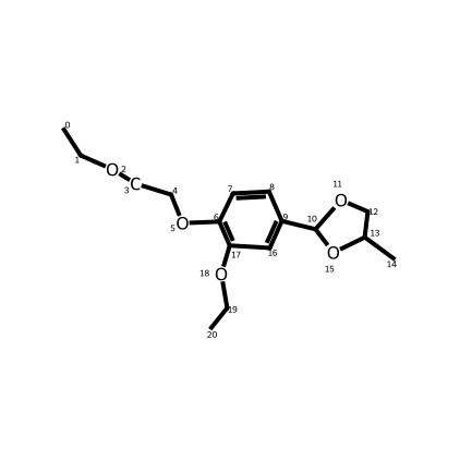 CCOCCOc1ccc(C2OCC(C)O2)cc1OCC